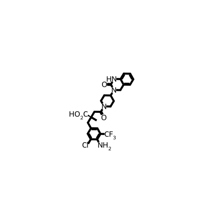 C[C@@](CC(=O)N1CCC(N2Cc3ccccc3NC2=O)CC1)(Cc1cc(Cl)c(N)c(C(F)(F)F)c1)C(=O)O